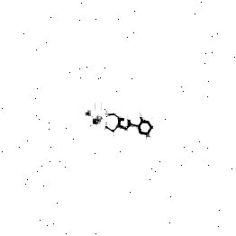 CC(C)(C)OC(=O)N1CCc2cc(-c3cc(Cl)ccc3Cl)sc2CC1